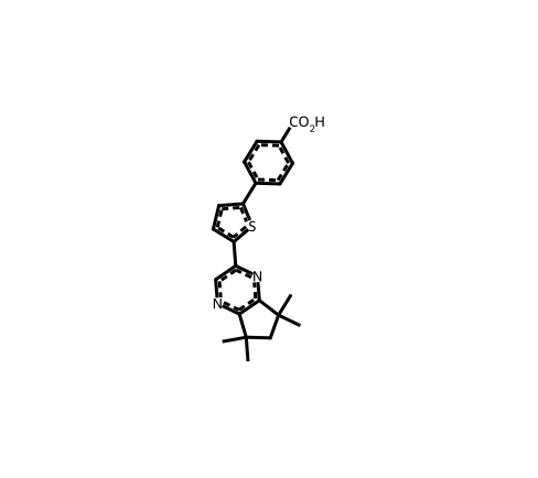 CC1(C)CC(C)(C)c2nc(-c3ccc(-c4ccc(C(=O)O)cc4)s3)cnc21